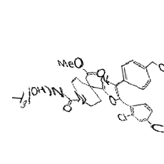 COC(=O)C1(c2nc(-c3ccc(CO)cc3)c(-c3ccc(Cl)cc3Cl)o2)CCN(C(=O)N(C)O)CC1